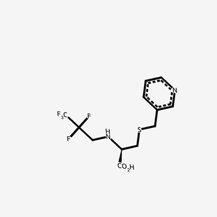 O=C(O)[C@H](CSCc1cccnc1)NCC(F)(F)C(F)(F)F